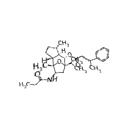 CCC(=O)N[C@@H]1C[C@]2(C(C)C)O[C@@]1(C)[C@@H]1CC[C@@H](C)[C@H]1[C@@H]2OC(=O)/C=C(\C)c1ccccc1